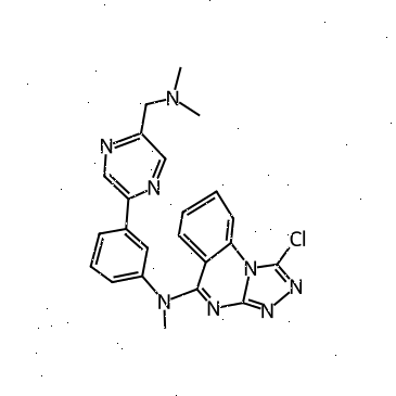 CN(C)Cc1cnc(-c2cccc(N(C)c3nc4nnc(Cl)n4c4ccccc34)c2)cn1